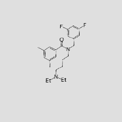 CCN(CC)CCCCN(Cc1cc(F)cc(F)c1)C(=O)c1cc(C)cc(C)c1